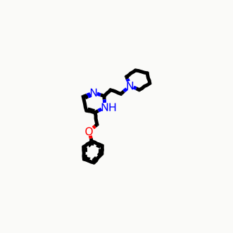 C1=NC(CCN2CCCCC2)NC(COc2ccccc2)=C1